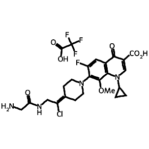 COc1c(N2CCC(=C(Cl)CNC(=O)CN)CC2)c(F)cc2c(=O)c(C(=O)O)cn(C3CC3)c12.O=C(O)C(F)(F)F